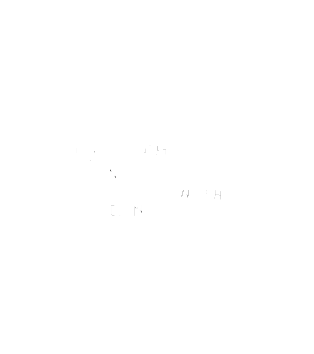 C=N/C(C)=C1/CN(C)CCN1CC